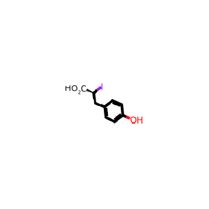 O=C(O)[C@@H](I)Cc1ccc(O)cc1